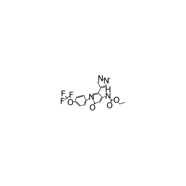 CCOC(=O)Nc1cc(=O)n(-c2ccc(OC(F)(F)F)cc2)cc1-c1cnn(C)c1